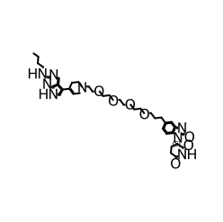 CCCCNc1ncc2c(C3=CCN(CCOCCOCCOCCOCCCc4ccc5c(c4)n(C)c(=O)n5[C@H]4CCC(=O)NC4=O)CC3)c[nH]c2n1